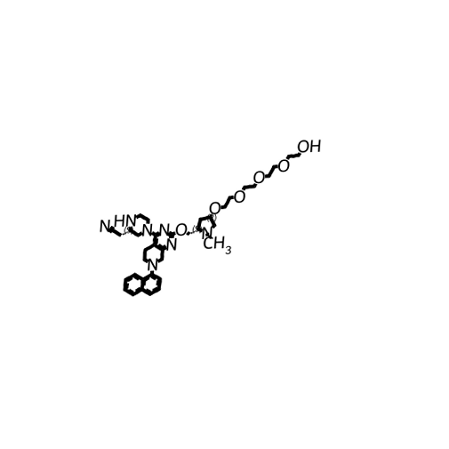 CN1C[C@H](OCCOCCOCCOCCO)C[C@H]1COc1nc2c(c(N3CCN[C@@H](CC#N)C3)n1)CCN(c1cccc3ccccc13)C2